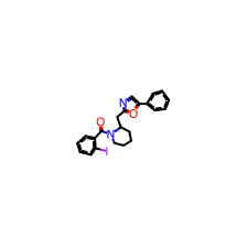 O=C(c1ccccc1I)N1CCCCC1Cc1ncc(-c2ccccc2)o1